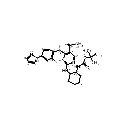 CC(C)(C)OC(=O)N[C@H]1CCCCC1Nc1ncc(C(N)=O)c(Nc2ccc(-n3cccn3)cc2F)n1